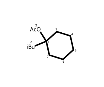 CCC(C)C1(OC(C)=O)CCCCC1